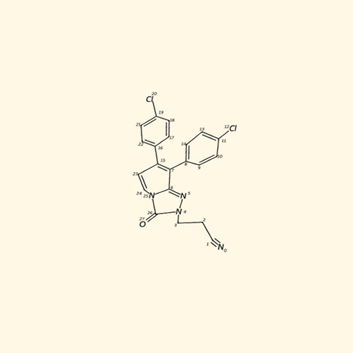 N#CCCn1nc2c(-c3ccc(Cl)cc3)c(-c3ccc(Cl)cc3)ccn2c1=O